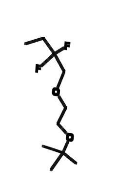 CCC(F)(F)COCCOC(C)(C)C